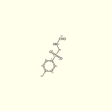 Cc1ccc(S(=O)(=O)CN[C]=O)cc1